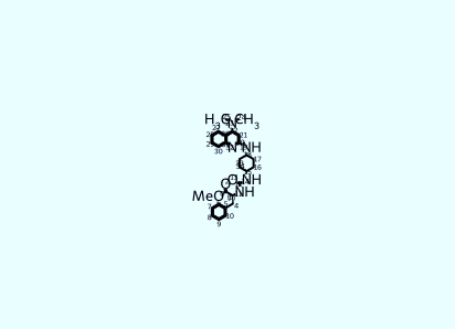 COC(=O)[C@H](Cc1ccccc1)NC(=O)N[C@H]1CC[C@@H](Nc2cc(N(C)C)c3ccccc3n2)CC1